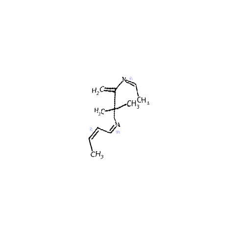 C=C(/N=C\C)C(C)(C)/N=C\C=C/C